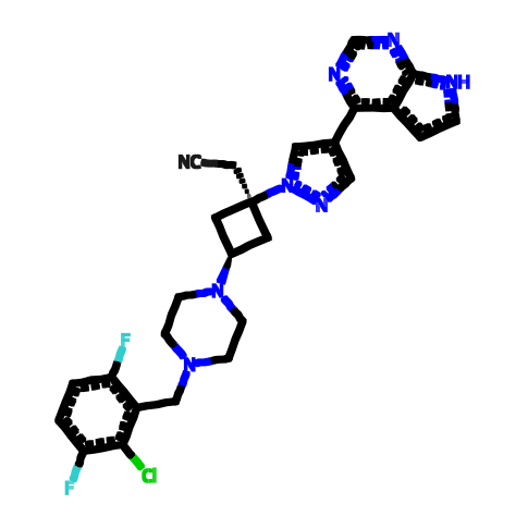 N#CC[C@]1(n2cc(-c3ncnc4[nH]ccc34)cn2)C[C@@H](N2CCN(Cc3c(F)ccc(F)c3Cl)CC2)C1